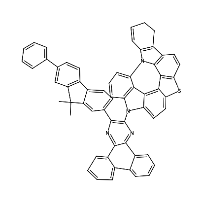 CC1(C)c2cc(-c3ccccc3)ccc2-c2ccc(-c3nc4c5ccccc5c5ccccc5c4nc3-n3c4ccc5sc6ccc7c8c(n9c%10cccc3c%10c4c5c6c79)C=CCC8)cc21